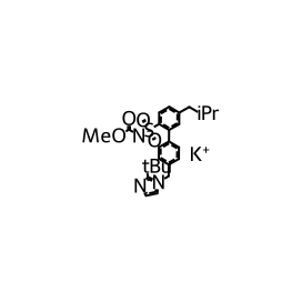 COC(=O)[N-]S(=O)(=O)c1ccc(CC(C)C)cc1-c1ccc(Cn2ccnc2C(C)(C)C)cc1.[K+]